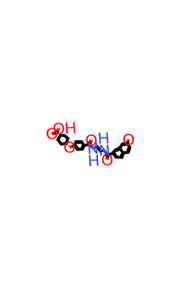 COc1ccc2ccc(C(=O)NCCNC(=O)c3ccc(O[C@H]4CC[C@@H](C(=O)O)CC4)cc3)cc2c1